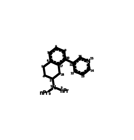 CCCN(CCC)C1CCc2cccc(-c3cccnc3)c2C1